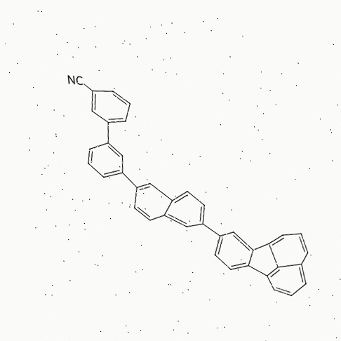 N#Cc1cccc(-c2cccc(-c3ccc4cc(-c5ccc6c(c5)-c5cccc7cccc-6c57)ccc4c3)c2)c1